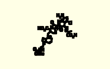 COC(=O)NCCn1ccc2c1ccc[n+]2CC1=C(C(=O)O)N2C(=O)[C@@H](NC(=O)/C(=N\O[C@@H](C)C(=O)O)c3nc(N)sc3Cl)[C@H]2SC1